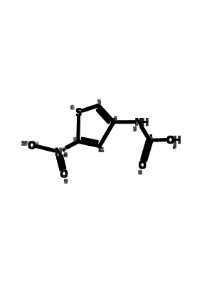 O=C(O)Nc1csc([N+](=O)[O-])c1